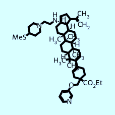 C=C(C)C1CC[C@]2(NCCN3CCC(SC)CC3)CC[C@]3(C)[C@H](CC[C@@H]4[C@@]5(C)CC=C(C6=CCC(COc7cccnc7)(C(=O)OCC)CC6)C(C)(C)[C@@H]5CC[C@]43C)[C@@H]12